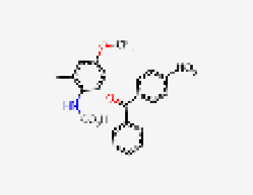 Cc1cc(OC(F)(F)F)ccc1NC(=O)O.O=C(c1ccccc1)c1ccc([N+](=O)[O-])cc1